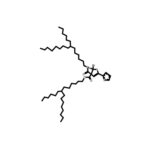 CCCCCCCCC(CCCCCC)CCCCCCOC(=O)C1(C(=O)OCCCCCCC(CCCCCC)CCCCCCCC)C=C(c2cccs2)SC1(Br)Br